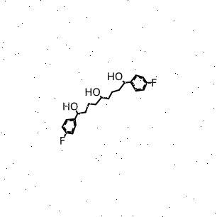 OC(CCCC(O)c1ccc(F)cc1)CCCC(O)c1ccc(F)cc1